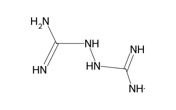 [NH]C(=N)NNC(=N)N